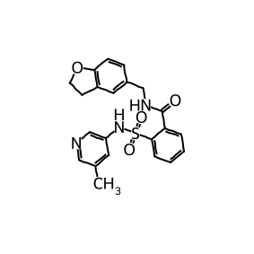 Cc1cncc(NS(=O)(=O)c2ccccc2C(=O)NCc2ccc3c(c2)CCO3)c1